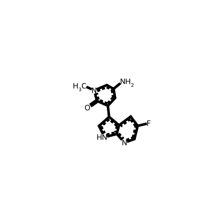 Cn1cc(N)cc(-c2c[nH]c3ncc(F)cc23)c1=O